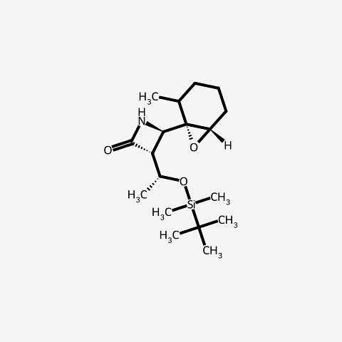 CC1CCC[C@@H]2O[C@]12[C@@H]1NC(=O)[C@H]1[C@@H](C)O[Si](C)(C)C(C)(C)C